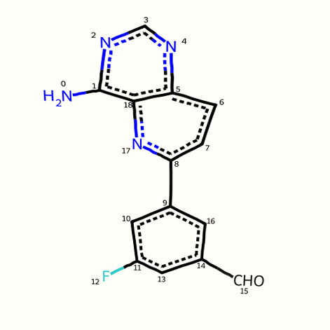 Nc1ncnc2ccc(-c3cc(F)cc(C=O)c3)nc12